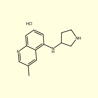 Cc1cnc2cccc(NC3CCNC3)c2c1.Cl